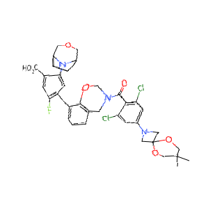 CC1(C)COC2(CN(c3cc(Cl)c(C(=O)N4COc5c(cccc5-c5cc(N6C7CCC6COC7)c(C(=O)O)cc5F)C4)c(Cl)c3)C2)OC1